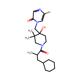 CC(CC1CCCCC1)C(=O)N1CCC(O)(Cn2cc(Br)ncc2=O)C(C)(C)C1